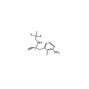 C#C[C@H](Cc1cccc(N)c1C)NCC(C)(F)F